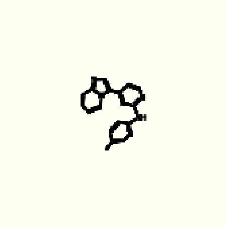 Cc1ccc(Nc2nccc(-c3cnc4ccccn34)n2)nc1